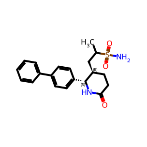 CC(C[C@H]1CCC(=O)N[C@@H]1c1ccc(-c2ccccc2)cc1)S(N)(=O)=O